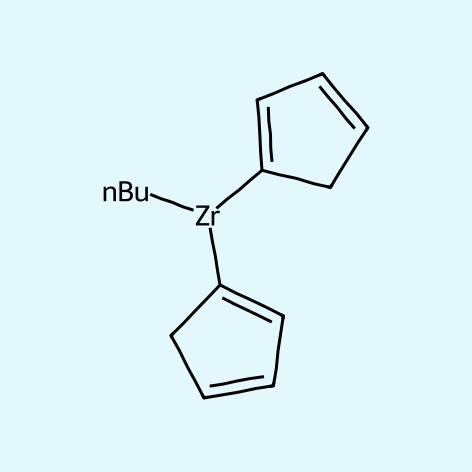 CCC[CH2][Zr]([C]1=CC=CC1)[C]1=CC=CC1